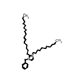 CCCCCCCCCCCCCCCCc1n(Cc2ccccc2)cc[n+]1CCCCCCCCCCC